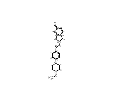 COC1CCC(c2ccc(OC[C@@H]3Cn4ccc(=O)nc4O3)cc2)CC1